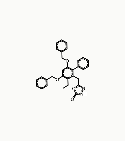 CCc1c(OCc2ccccc2)cc(OCc2ccccc2)c(-c2ccccc2)c1Cc1n[nH]c(=O)o1